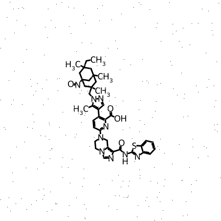 CCC1(C)CC2(C)CC(C)(Cn3ncc(-c4ccc(N5CCn6cnc(C(=O)Nc7nc8ccccc8s7)c6C5)nc4C(=O)O)c3C)CC(N=O)(C1)C2